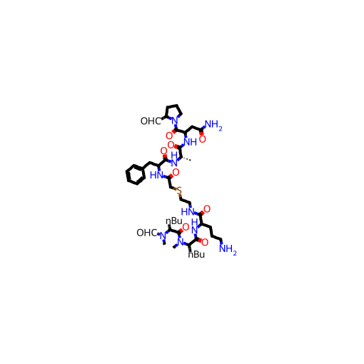 CCCCC(C(=O)N(C)C(CCCC)C(=O)NC(CCCN)C(=O)NCCSCC(=O)NC(Cc1ccccc1)C(=O)N[C@@H](C)C(=O)NC(CC(N)=O)C(=O)N1CCCC1C=O)N(C)C=O